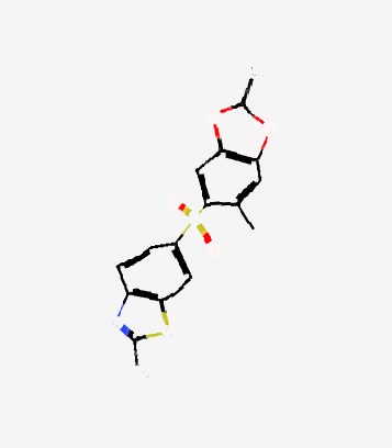 Cc1cc2c(cc1S(=O)(=O)c1ccc3nc(C(C)(C)C)sc3c1)OC(C(=O)O)O2